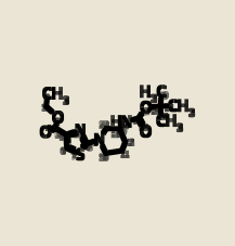 CCOC(=O)c1csc(N2CCC[C@@H](NC(=O)OC(C)(C)C)C2)n1